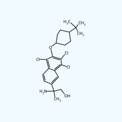 CC(N)(CO)c1ccc2c(Cl)c(OC3CCC(C(C)(C)C)CC3)c(Cl)c(Cl)c2c1